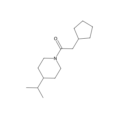 CC(C)C1CCN(C(=O)CC2CCCC2)CC1